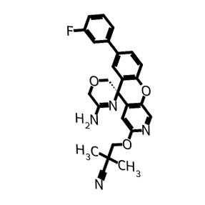 CC(C)(C#N)COc1cc2c(cn1)Oc1ccc(-c3cccc(F)c3)cc1[C@@]21COCC(N)=N1